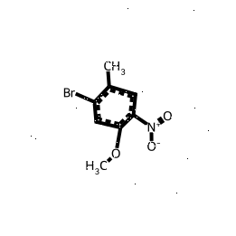 COc1cc(Br)c(C)cc1[N+](=O)[O-]